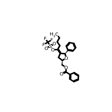 CCCCC(OS(=O)(=O)C(F)(F)F)=C1C[C@H](COC(=O)c2ccccc2)O[C@@H]1c1ccccc1